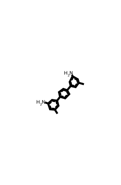 Cc1cc(N)cc(-c2ccc(-c3cc(C)cc(N)c3)cc2)c1